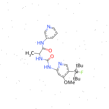 COc1cc(NC(=O)NC(C)C(=O)Nc2cccnc2)ncc1[Si](F)(C(C)(C)C)C(C)(C)C